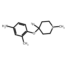 [2H]C1(Oc2ccc(N)cc2C)CCN(C)CC1